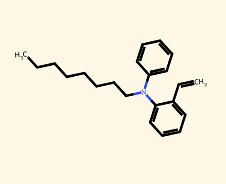 C=Cc1ccccc1N(CCCCCCCC)c1ccccc1